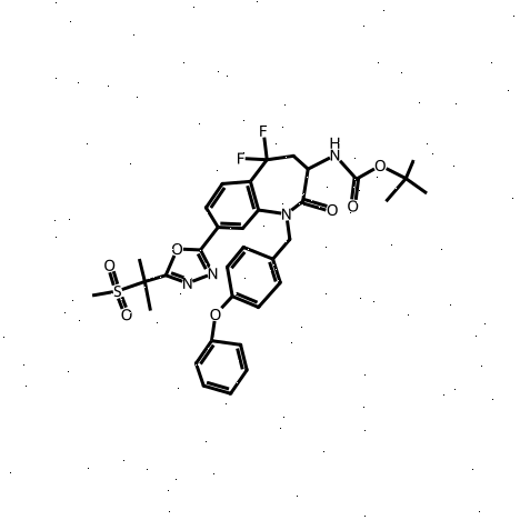 CC(C)(C)OC(=O)NC1CC(F)(F)c2ccc(-c3nnc(C(C)(C)S(C)(=O)=O)o3)cc2N(Cc2ccc(Oc3ccccc3)cc2)C1=O